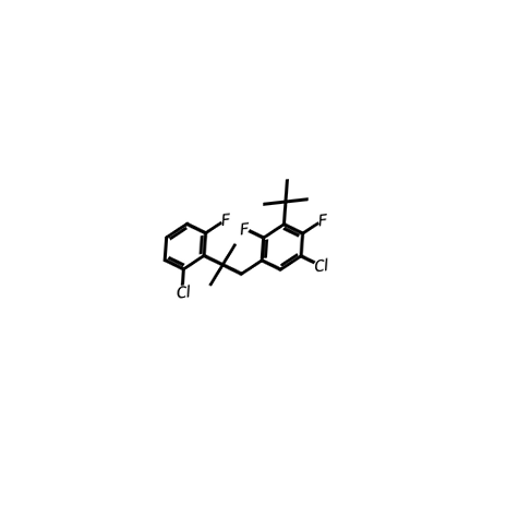 CC(C)(C)c1c(F)c(Cl)cc(CC(C)(C)c2c(F)cccc2Cl)c1F